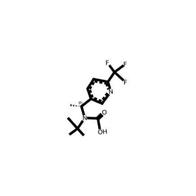 C[C@H](c1ccc(C(F)(F)F)nc1)N(C(=O)O)C(C)(C)C